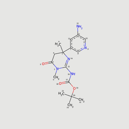 CN1C(=O)CC(C)(c2cncc(N)c2)N=C1NC(=O)OC(C)(C)C